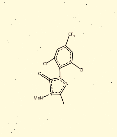 CNn1c(C)nn(-c2c(Cl)cc(C(F)(F)F)cc2Cl)c1=O